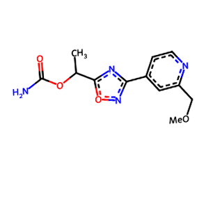 COCc1cc(-c2noc(C(C)OC(N)=O)n2)ccn1